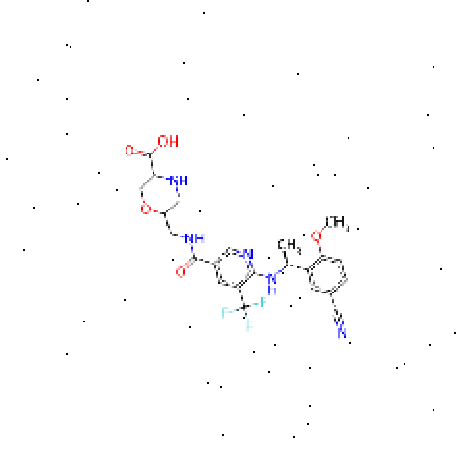 COc1ccc(C#N)cc1[C@H](C)Nc1ncc(C(=O)NCC2CNC(C(=O)O)CO2)cc1C(F)(F)F